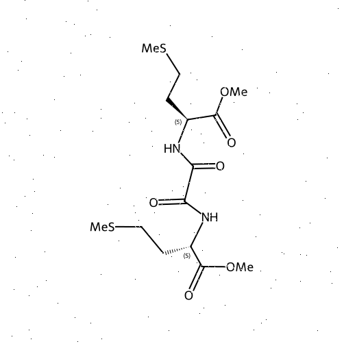 COC(=O)[C@H](CCSC)NC(=O)C(=O)N[C@@H](CCSC)C(=O)OC